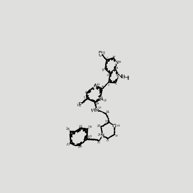 Fc1cnc(-c2c[nH]c3ncc(Cl)cc23)nc1NCC1CN(Cc2ccccc2)CCO1